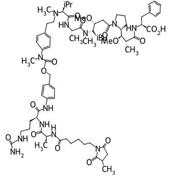 CC[C@H](C)[C@@H]([C@@H](CC(=O)N1CCC[C@H]1[C@H](OC)[C@@H](C)C(=O)N[C@@H](Cc1ccccc1)C(=O)O)OC)N(C)C(=O)[C@H](C)NC(=O)[C@H](C(C)C)N(C)CCc1ccc(N(C)C(=O)OCc2ccc(NC(=O)[C@H](CCCNC(N)=O)NC(=O)[C@H](C)NC(=O)CCCCCN3C(=O)CC(C)C3=O)cc2)cc1